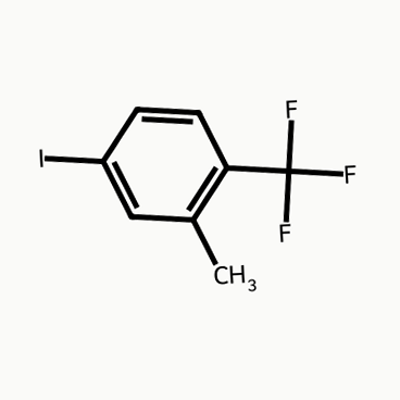 Cc1cc(I)ccc1C(F)(F)F